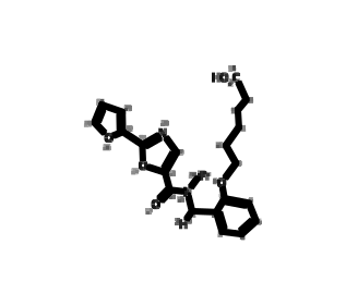 [2H]C(c1ccccc1OCCCCCC(=O)O)N(C(=O)c1cnc(-c2ccco2)o1)C(C)C